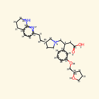 O=C(O)CC(CN1CC[C@@H](CCc2ccc3c(n2)NCCC3)C1)c1cccc(OC[C@H]2CCCO2)c1